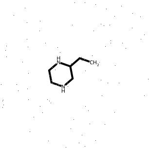 [CH2]CC1CNCCN1